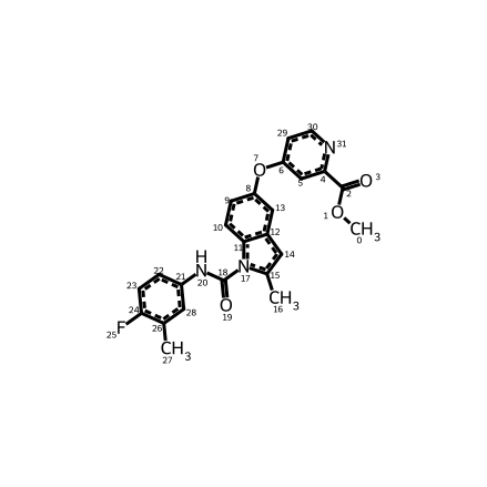 COC(=O)c1cc(Oc2ccc3c(c2)cc(C)n3C(=O)Nc2ccc(F)c(C)c2)ccn1